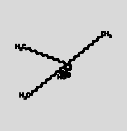 CCCCCCCCCCCCCCCc1ccc(S(=O)(=O)O)c(CCCCCCCCCCCCCCC)c1CCCCCCCCCCCCCCC